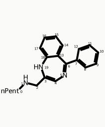 CCCCCNCC1=CN=C(c2ccccc2)c2ccccc2N1